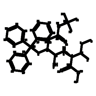 CCC(C)[C@H](NC(S)C(CC(c1ccccc1)(c1ccccc1)c1ccccc1)NC(=O)OC(C)(C)C)C(=O)OC